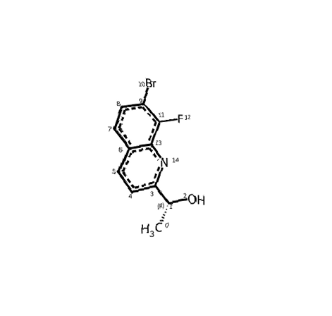 C[C@@H](O)c1ccc2ccc(Br)c(F)c2n1